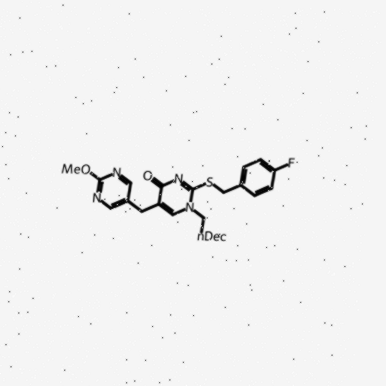 CCCCCCCCCCCn1cc(Cc2cnc(OC)nc2)c(=O)nc1SCc1ccc(F)cc1